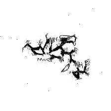 COc1nc(N[C@H](C)c2cccc(C(F)F)c2F)c(C2OCCO2)c(C(F)C(=O)NC2(C(F)F)CC2)n1